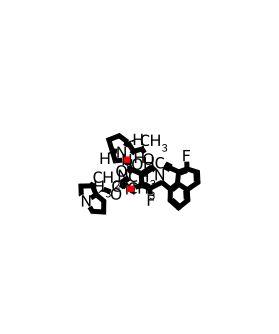 C#Cc1c(F)ccc2cccc(-c3nc4c5c(nc(OC[C@]67CCCN6CCC7=C)nc5c3F)N3C[C@H]5CC[C@@H]([C@H]3[C@H](C)O4)N5C(=O)OC(C)(C)C)c12